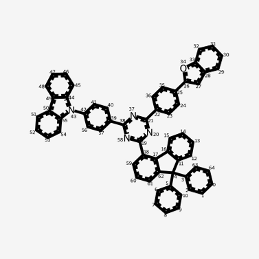 c1ccc(C2(c3ccccc3)c3ccccc3-c3c(-c4nc(-c5ccc(-c6cc7ccccc7o6)cc5)nc(-c5ccc(-n6c7ccccc7c7ccccc76)cc5)n4)cccc32)cc1